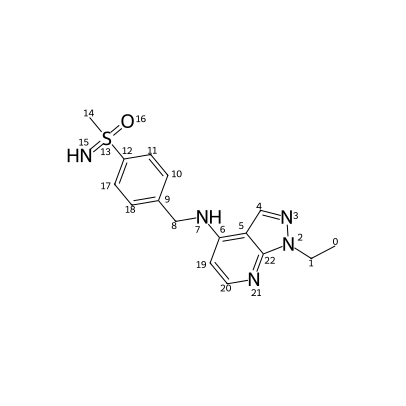 CCn1ncc2c(NCc3ccc(S(C)(=N)=O)cc3)ccnc21